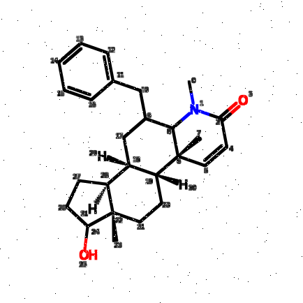 CN1C(=O)C=C[C@@]2(C)C1C(Cc1ccccc1)C[C@@H]1[C@H]2CC[C@]2(C)C(O)CC[C@@H]12